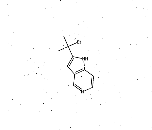 CCC(C)(C)c1cc2cnccc2[nH]1